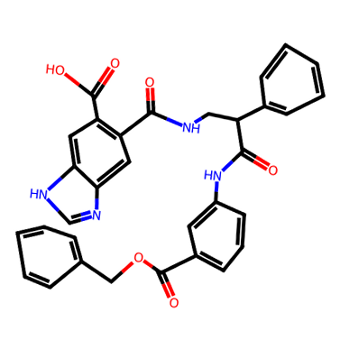 O=C(OCc1ccccc1)c1cccc(NC(=O)C(CNC(=O)c2cc3nc[nH]c3cc2C(=O)O)c2ccccc2)c1